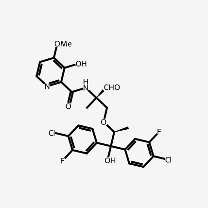 COc1ccnc(C(=O)N[C@](C)(C=O)CO[C@@H](C)C(O)(c2ccc(Cl)c(F)c2)c2ccc(Cl)c(F)c2)c1O